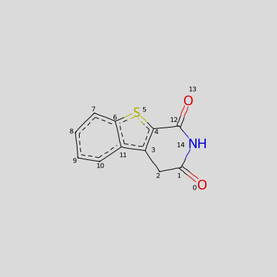 O=C1Cc2c(sc3ccccc23)C(=O)N1